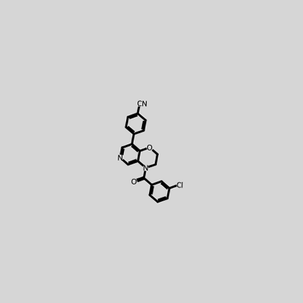 N#Cc1ccc(-c2cncc3c2OCCN3C(=O)c2cccc(Cl)c2)cc1